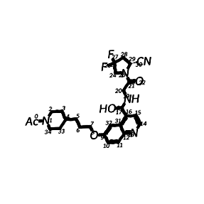 CC(=O)N1CCC(CCCOc2ccc3nccc(C(O)NCC(=O)N4CC(F)(F)C[C@@H]4C#N)c3c2)CC1